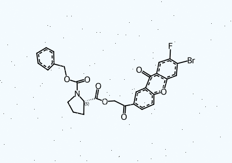 O=C(COC(=O)[C@@H]1CCCN1C(=O)OCc1ccccc1)c1ccc2oc3cc(Br)c(F)cc3c(=O)c2c1